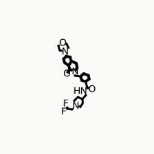 O=C(NCC1CCN(CC(F)F)CC1)c1cccc(Cn2ccc3cc(N4CCOCC4)ccc3c2=O)c1